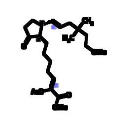 COCCC(C)(C)C/C=C/[C@H]1CCC(=O)[C@@H]1CCCC/C=C(\OC(C)=O)C(=O)OC